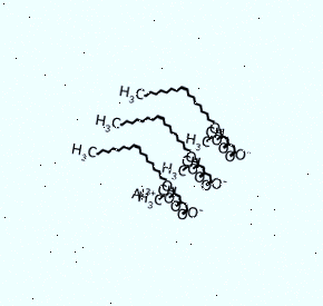 CCCCCCCC/C=C\CCCCCCCCOCC(CC(=O)CC(=O)[O-])OC(C)C.CCCCCCCC/C=C\CCCCCCCCOCC(CC(=O)CC(=O)[O-])OC(C)C.CCCCCCCC/C=C\CCCCCCCCOCC(CC(=O)CC(=O)[O-])OC(C)C.[Al+3]